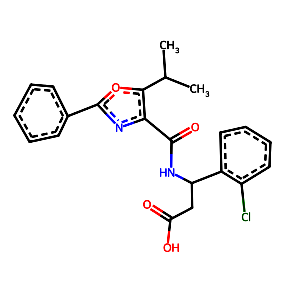 CC(C)c1oc(-c2ccccc2)nc1C(=O)NC(CC(=O)O)c1ccccc1Cl